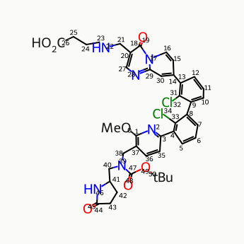 COc1nc(-c2cccc(-c3cccc(-c4ccn5c(=O)c(CNCCCC(=O)O)cnc5c4)c3Cl)c2Cl)ccc1CN(CC1CCC(=O)N1)C(=O)OC(C)(C)C